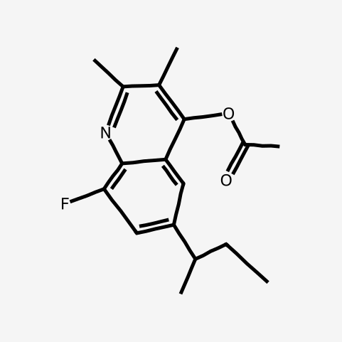 CCC(C)c1cc(F)c2nc(C)c(C)c(OC(C)=O)c2c1